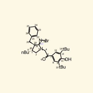 CCCC[C@H]1CN(CC(=O)c2cc(C(C)(C)C)c(O)c(C(C)(C)C)c2)/C(=N\Br)[C@@H]1Cc1ccccc1